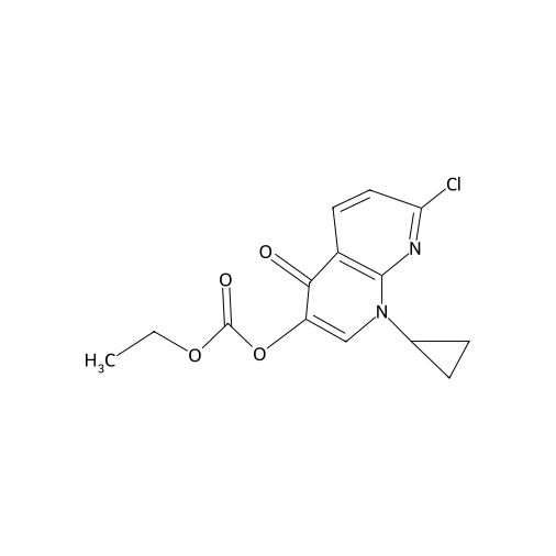 CCOC(=O)Oc1cn(C2CC2)c2nc(Cl)ccc2c1=O